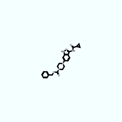 O=C(Nc1n[nH]c2cc(N3CCN(C(=O)OCc4ccccc4)CC3)ccc12)C1CC1